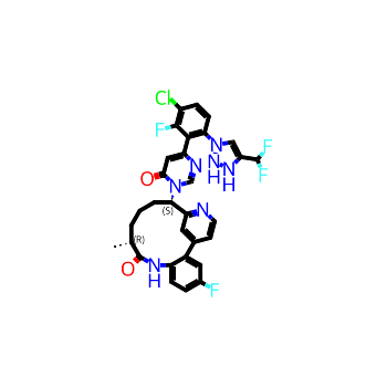 C[C@@H]1CCC[C@H](n2cnc(-c3c(N4C=C(C(F)F)NN4)ccc(Cl)c3F)cc2=O)c2cc(ccn2)-c2cc(F)ccc2NC1=O